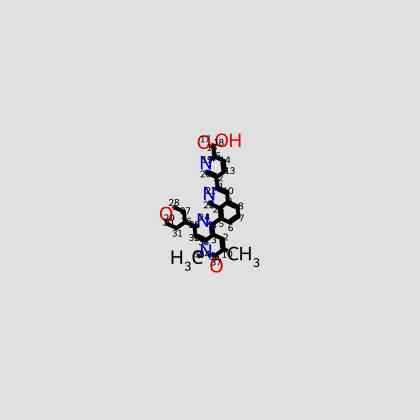 Cc1cc2c(-c3cccc4cc(-c5ccc(C(=O)O)nc5)ncc34)nc(C3CCOCC3)cc2n(C)c1=O